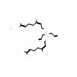 C=CC[Si](CC=C)(OCC=C(C)CCC=C(C)C)OCC=C(C)CCC=C(C)C